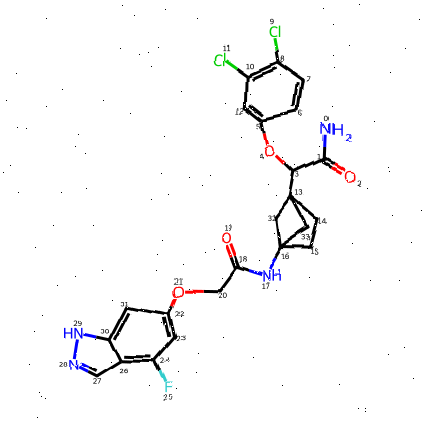 NC(=O)C(Oc1ccc(Cl)c(Cl)c1)C12CCC(NC(=O)COc3cc(F)c4cn[nH]c4c3)(C1)C2